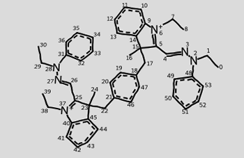 CCN(N=CC1=[N+](CC)c2ccccc2C1(C)Cc1ccc(CC2(C)C(C=NN(CC)c3ccccc3)=[N+](CC)c3ccccc32)cc1)c1ccccc1